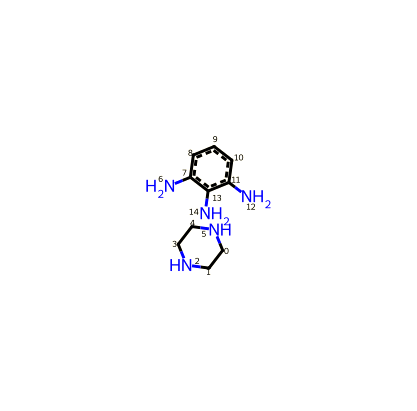 C1CNCCN1.Nc1cccc(N)c1N